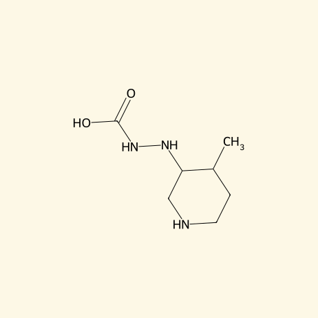 CC1CCNCC1NNC(=O)O